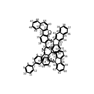 CCC1C(c2ccc(-c3ccccc3)cc2)=NC(c2ccc3c4c(oc3c2-n2c3ccccc3c3cc5ccccc5cc32)C=CC2C=CC=CC42)=NC1c1cccc2c3ccccc3n(-c3ccccc3)c12